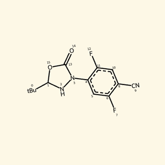 CC(C)(C)C1NN(c2cc(F)c(C#N)cc2F)C(=O)O1